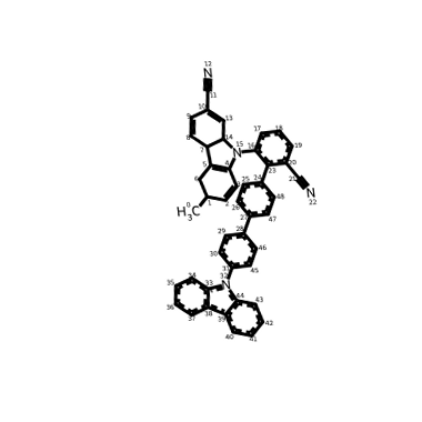 CC1C=CC2=C(C1)C1C=CC(C#N)=CC1N2c1cccc(C#N)c1-c1ccc(-c2ccc(-n3c4ccccc4c4ccccc43)cc2)cc1